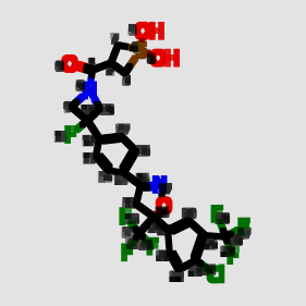 O=C(C1CS(O)(O)C1)N1CC(F)(c2ccc(C3=NOC(c4ccc(Cl)c(C(F)(F)F)c4)(C(F)(F)F)C3)cc2)C1